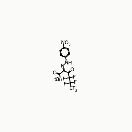 CC(C)(C)C(=O)/C(=N/Nc1ccc([N+](=O)[O-])cc1)C(=O)C(F)(F)C(F)(F)C(F)(F)F